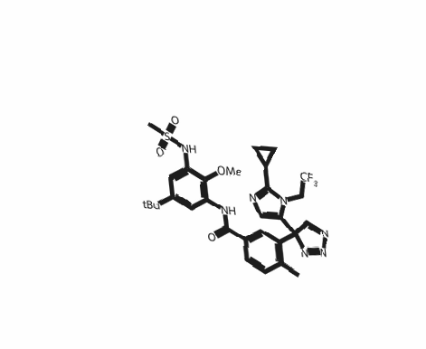 COc1c(NC(=O)c2ccc(C)c(C3(c4cnc(C5CC5)n4CC(F)(F)F)C=NN=N3)c2)cc(C(C)(C)C)cc1NS(C)(=O)=O